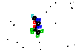 O=C(Nc1ccc(F)cc1)c1cc(NC(=O)[C@H]2[C@H](c3cc(Cl)cc(Cl)c3)C2(Cl)Cl)ccc1F